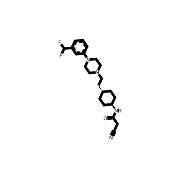 N#CCC(=O)N[C@H]1CC[C@H](CCN2CCN(c3cccc(C(F)F)c3)CC2)CC1